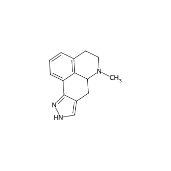 CN1CCc2cccc3c2C1Cc1c[nH]nc1-3